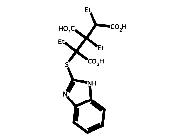 CCC(C(=O)O)C(CC)(C(=O)O)C(CC)(Sc1nc2ccccc2[nH]1)C(=O)O